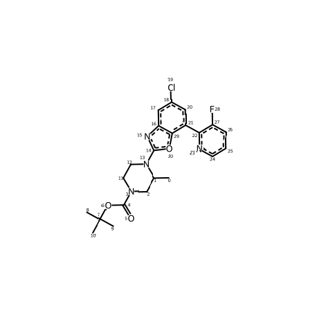 CC1CN(C(=O)OC(C)(C)C)CCN1c1nc2cc(Cl)cc(-c3ncccc3F)c2o1